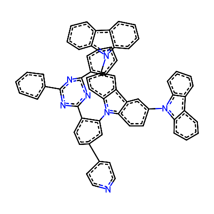 c1ccc(-c2nc(-c3ccccc3)nc(-c3ccc(-c4ccncc4)cc3-n3c4ccc(-n5c6ccccc6c6ccccc65)cc4c4cc(-n5c6ccccc6c6ccccc65)ccc43)n2)cc1